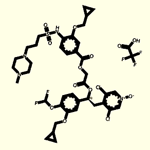 CN1CCN(CCCS(=O)(=O)Nc2ccc(C(=O)OCC(=O)O[C@@H](Cc3c(Cl)c[n+]([O-])cc3Cl)c3ccc(OC(F)F)c(OCC4CC4)c3)cc2OCC2CC2)CC1.O=C(O)C(F)(F)F